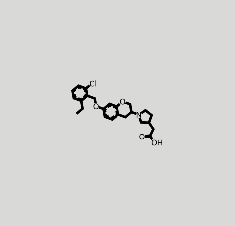 CCc1cccc(Cl)c1COc1ccc2c(c1)OCC(N1CCC(CC(=O)O)C1)C2